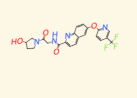 O=C(NCC(=O)N1CCC(O)C1)c1ccc2cc(Oc3ccc(C(F)(F)F)cn3)ccc2n1